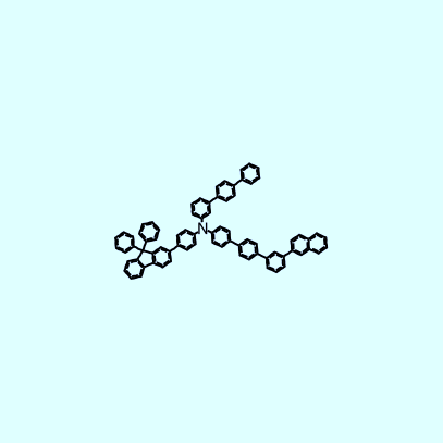 c1ccc(-c2ccc(-c3cccc(N(c4ccc(-c5ccc(-c6cccc(-c7ccc8ccccc8c7)c6)cc5)cc4)c4ccc(-c5ccc6c(c5)C(c5ccccc5)(c5ccccc5)c5ccccc5-6)cc4)c3)cc2)cc1